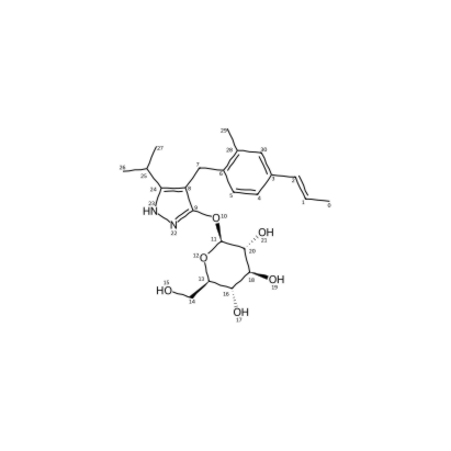 C/C=C/c1ccc(Cc2c(O[C@@H]3O[C@H](CO)[C@@H](O)[C@H](O)[C@H]3O)n[nH]c2C(C)C)c(C)c1